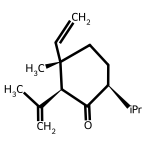 C=C[C@]1(C)CC[C@@H](C(C)C)C(=O)[C@H]1C(=C)C